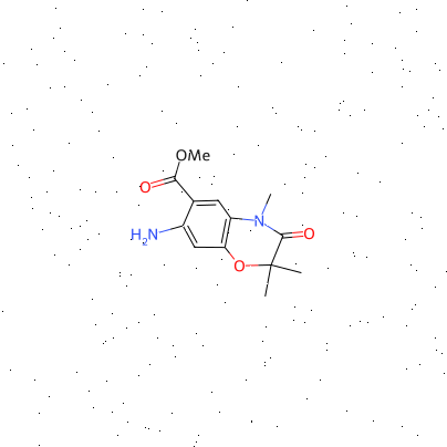 COC(=O)c1cc2c(cc1N)OC(C)(C)C(=O)N2C